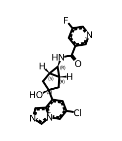 O=C(N[C@H]1[C@@H]2C[C@](O)(c3cc(Cl)cn4cncc34)C[C@@H]21)c1cncc(F)c1